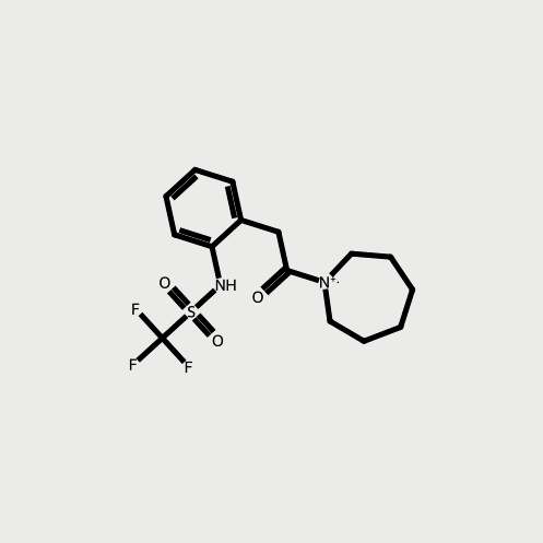 O=C(Cc1ccccc1NS(=O)(=O)C(F)(F)F)[N+]1CCCCCC1